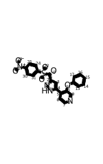 O=C(c1cc(-c2ccncc2Oc2ccccc2)[nH]n1)S(=O)(=O)c1ccc([N+](=O)[O-])cc1